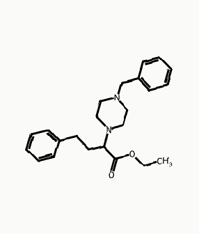 CCOC(=O)C(CCc1ccccc1)N1CCN(Cc2ccccc2)CC1